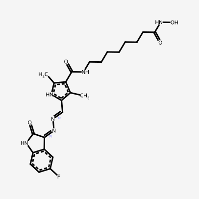 Cc1[nH]c(/C=N/N=C2\C(=O)Nc3ccc(F)cc32)c(C)c1C(=O)NCCCCCCCC(=O)NO